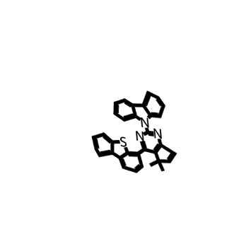 CC1(C)C=Cc2nc(-n3c4ccccc4c4ccccc43)nc(-c3cccc4c3sc3ccccc34)c21